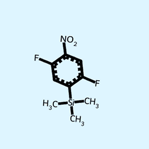 C[Si](C)(C)c1cc(F)c([N+](=O)[O-])cc1F